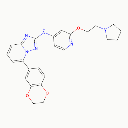 c1cc(-c2ccc3c(c2)OCCO3)n2nc(Nc3ccnc(OCCN4CCCC4)c3)nc2c1